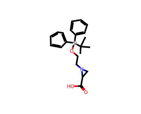 CC(C)(C)[Si](OCCN1CC1C(=O)O)(c1ccccc1)c1ccccc1